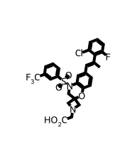 C/C(=C\c1ccc2c(c1)N(S(=O)(=O)c1cccc(C(F)(F)F)c1)CC1(CN(CC(=O)O)C1)O2)c1c(F)cccc1Cl